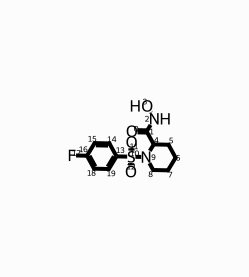 O=C(NO)C1CCCCN1S(=O)(=O)c1ccc(F)cc1